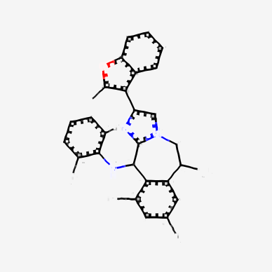 CCc1oc2ccccc2c1-c1cn2c(n1)C(Nc1c(C(C)C)cccc1C(C)C)c1c(C(C)C)cc(C(C)C)cc1C(C)C2